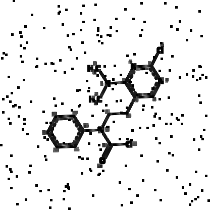 CN(C)c1nc(Cl)ncc1CCN(C(=O)Cl)c1ccccc1